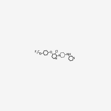 FC(F)(F)Oc1ccc(Oc2ccnc(N3CCC(Nc4cccnc4)CC3)c2Cl)cc1